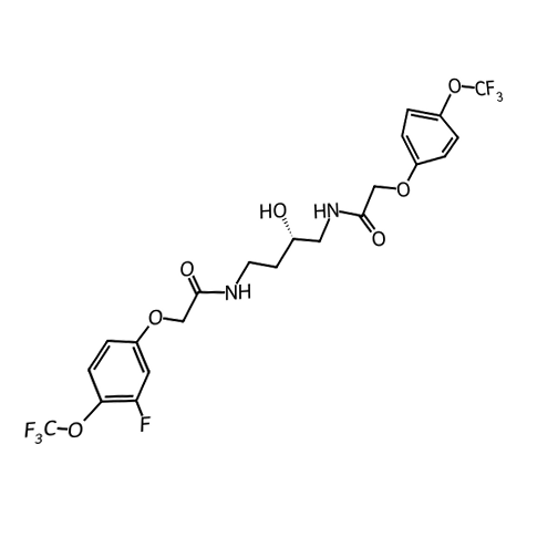 O=C(COc1ccc(OC(F)(F)F)c(F)c1)NCC[C@H](O)CNC(=O)COc1ccc(OC(F)(F)F)cc1